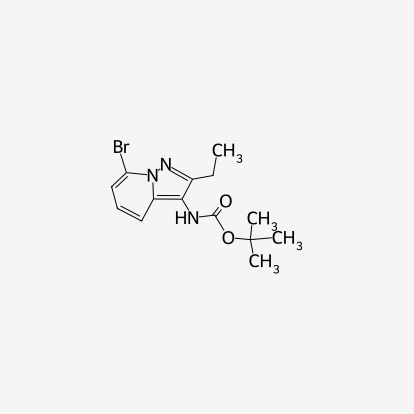 CCc1nn2c(Br)cccc2c1NC(=O)OC(C)(C)C